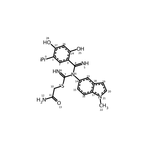 CC(C)c1cc(C(=N)N(C(=N)SCC(N)=O)c2ccc3c(ccn3C)c2)c(O)cc1O